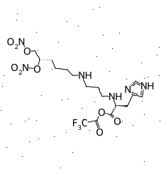 O=C(OC(=O)C(F)(F)F)[C@H](Cc1c[nH]cn1)NCCCNCCCC[C@@H](CO[N+](=O)[O-])O[N+](=O)[O-]